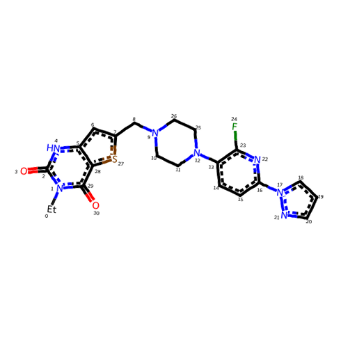 CCn1c(=O)[nH]c2cc(CN3CCN(c4ccc(-n5cccn5)nc4F)CC3)sc2c1=O